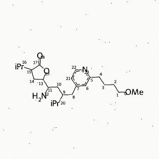 COCCCCc1cc(CC(CC(N)C2CC(C(C)C)C(=O)O2)C(C)C)ccn1